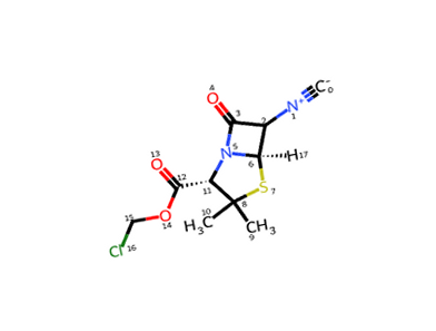 [C-]#[N+]C1C(=O)N2[C@@H]1SC(C)(C)[C@@H]2C(=O)OCCl